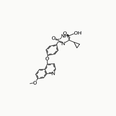 COc1ccc2c(Oc3ccc(S(N)(=O)=NC(C(=O)O)C4CC4)cc3)ccnc2c1